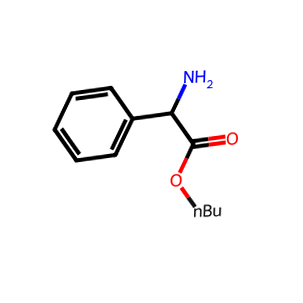 CCCCOC(=O)C(N)c1ccccc1